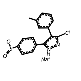 Cc1cccc(-c2c(Cl)n[nH]c2-c2ccc(S(=O)[O-])cc2)c1.[Na+]